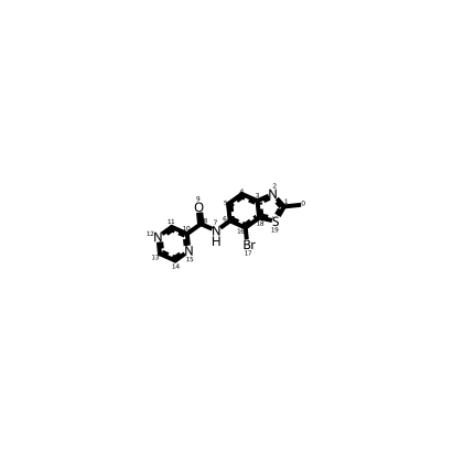 Cc1nc2ccc(NC(=O)c3cnccn3)c(Br)c2s1